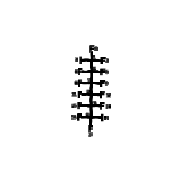 FC(F)(I)C(F)(F)C(F)(F)C(F)(F)C(F)(F)C(F)(F)I